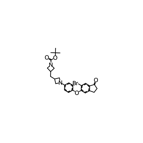 CC(C)(C)OC(=O)N1CC(CC2CN(c3ccc(Oc4cc5c(cc4Br)C(=O)CC5)cc3)C2)C1